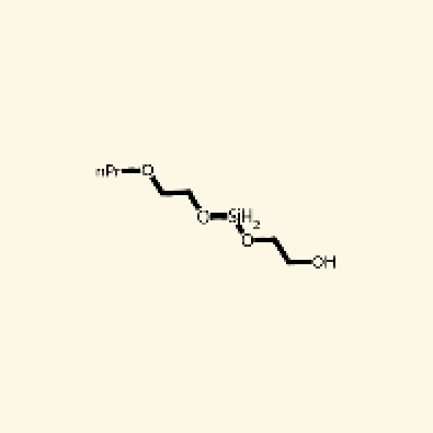 CCCOCCO[SiH2]OCCO